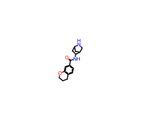 O=C(NC1CC2CC1CN2)c1ccc2c(c1)OCCC2